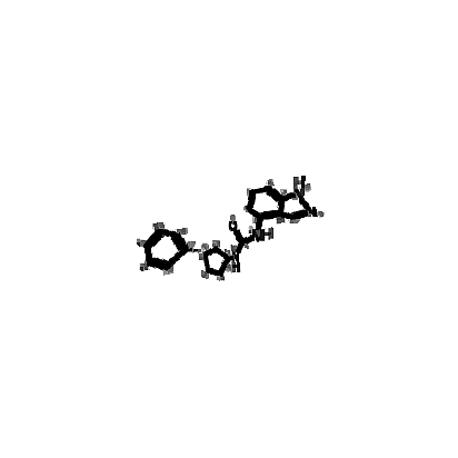 O=C(Nc1cccc2[nH]ncc12)N[C@H]1CC[C@H](c2ccccc2)C1